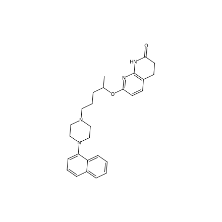 CC(CCCN1CCN(c2cccc3ccccc23)CC1)Oc1ccc2c(n1)NC(=O)CC2